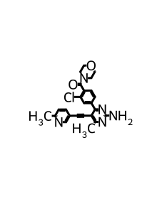 Cc1ccc(C#Cc2c(C)nc(N)nc2-c2ccc(C(=O)N3CCOCC3)c(Cl)c2)cn1